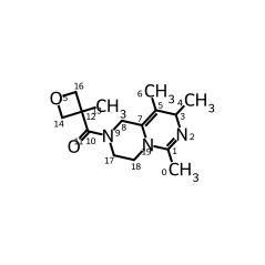 CC1=NC(C)C(C)=C2CN(C(=O)C3(C)COC3)CCN12